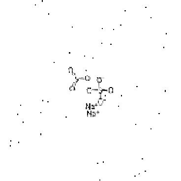 O=S(=O)([O-])[O-].O=S(=O)=O.[Na+].[Na+]